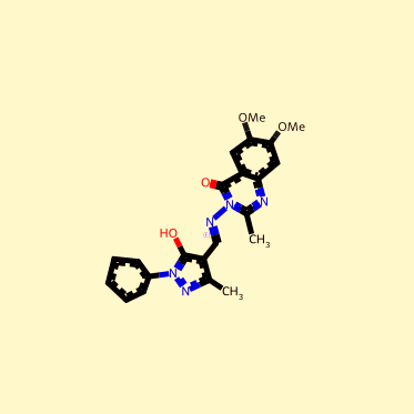 COc1cc2nc(C)n(/N=C/c3c(C)nn(-c4ccccc4)c3O)c(=O)c2cc1OC